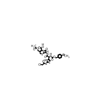 COc1ccc(COC(=O)NC(C(=O)N[C@@H]2C(=O)N3C(C(=O)O)=C(COC(C)=O)CSC23)c2csc(=NC(=O)CCl)[nH]2)cc1